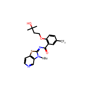 CCCCn1c(=NC(=O)c2cc(C(F)(F)F)ccc2OCCC(C)(C)O)sc2ccncc21